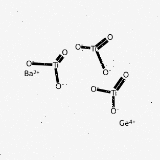 [Ba+2].[Ge+4].[O]=[Ti]([O-])[O-].[O]=[Ti]([O-])[O-].[O]=[Ti]([O-])[O-]